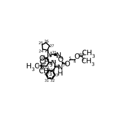 CC(C)OCCOC(=O)NC(=NC(CC(C)(C)C)C(=O)N(C#N)C1CCCC1)c1ccccc1